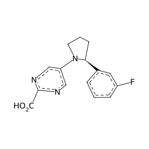 O=C(O)c1ncc(N2CCC[C@H]2c2cccc(F)c2)cn1